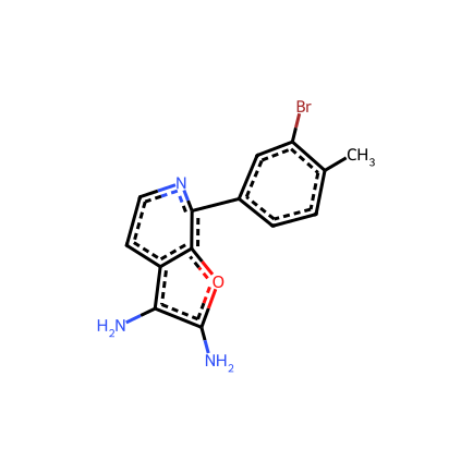 Cc1ccc(-c2nccc3c(N)c(N)oc23)cc1Br